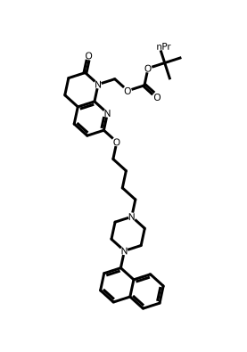 CCCC(C)(C)OC(=O)OCN1C(=O)CCc2ccc(OCCCCN3CCN(c4cccc5ccccc45)CC3)nc21